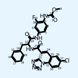 COC(=O)Nc1ccc(NC(=O)C(Cc2ccccc2)NC(=O)C=Cc2cc(Cl)ccc2-n2cnnn2)cc1F